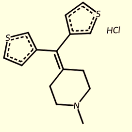 CN1CCC(=C(c2ccsc2)c2ccsc2)CC1.Cl